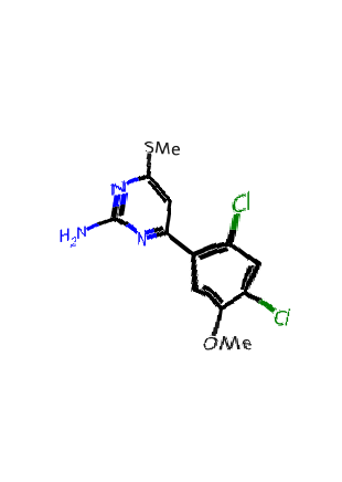 COc1cc(-c2cc(SC)nc(N)n2)c(Cl)cc1Cl